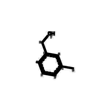 Cc1[c]ccc(CO)c1